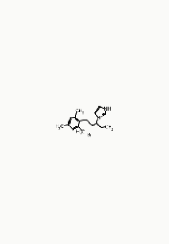 CCC(CCc1c(C)cc(C)cc1C)[n+]1cc[nH]c1.[Br-]